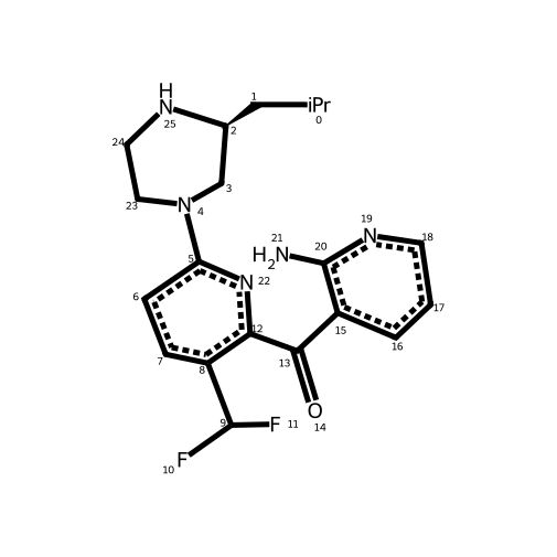 CC(C)C[C@H]1CN(c2ccc(C(F)F)c(C(=O)c3cccnc3N)n2)CCN1